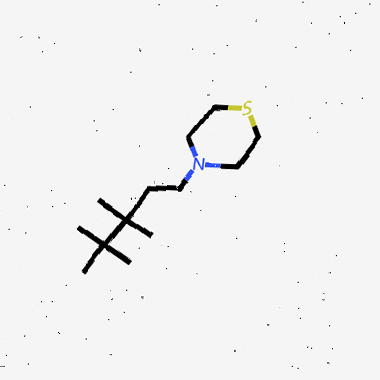 CC(C)(C)C(C)(C)CCN1CCSCC1